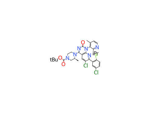 Cc1ccnc(C(C)C)c1-n1c(=O)nc(N2CCN(C(=O)OC(C)(C)C)C[C@@H]2C)c2cc(Cl)c(-c3cc(Cl)ccc3F)nc21